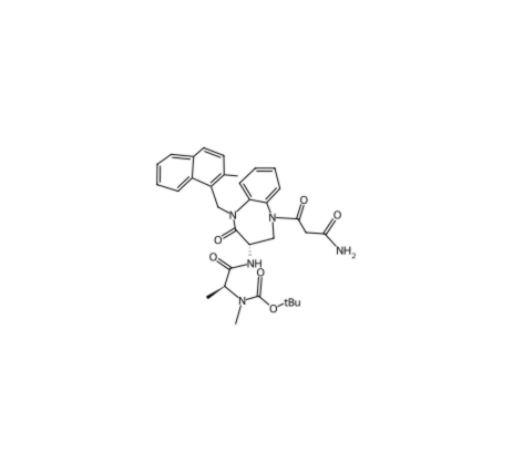 Cc1ccc2ccccc2c1CN1C(=O)[C@@H](NC(=O)[C@H](C)N(C)C(=O)OC(C)(C)C)CN(C(=O)CC(N)=O)c2ccccc21